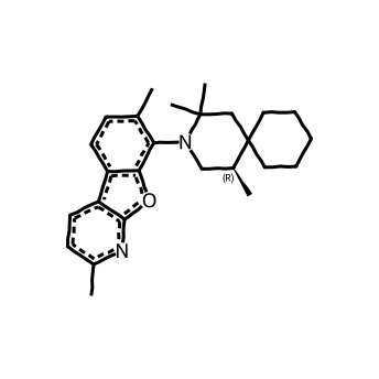 Cc1ccc2c(n1)oc1c(N3C[C@H](C)C4(CCCCC4)CC3(C)C)c(C)ccc12